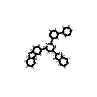 c1ccc(-c2cccc(-c3nc(-c4ccc5sc6ccccc6c5c4)cc(-c4cc5ccccc5o4)n3)c2)cc1